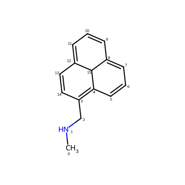 CNCC1=C2C=CC=C3C=CC=C(C=C1)C32